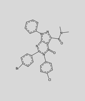 CN(C)C(=O)c1nn(-c2ccccc2)c2nc(-c3ccc(Br)cc3)n(-c3ccc(Cl)cc3)c(=O)c12